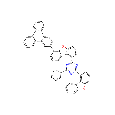 C1=CCC(c2nc(-c3cccc4oc5ccccc5c34)nc(-c3cccc4oc5c(-c6ccc7c8ccccc8c8ccccc8c7c6)cccc5c34)n2)C=C1